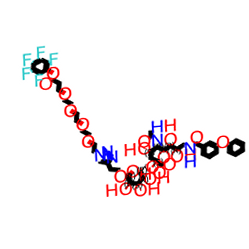 CC(=O)N[C@H]1[C@H]([C@H](O)[C@H](O)CNC(=O)c2cccc(Oc3ccccc3)c2)O[C@](OC[C@H]2O[C@@H](OCCc3cn(CCOCCOCCOCCOCCC(=O)Oc4c(F)c(F)c(F)c(F)c4F)nn3)[C@H](O)[C@@H](O)[C@H]2O)(C(=O)O)C[C@@H]1O